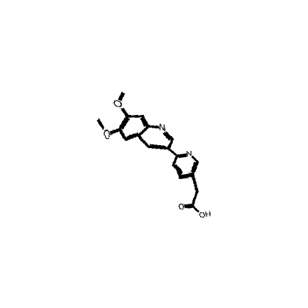 COc1cc2cc(-c3ccc(CC(=O)O)cn3)cnc2cc1OC